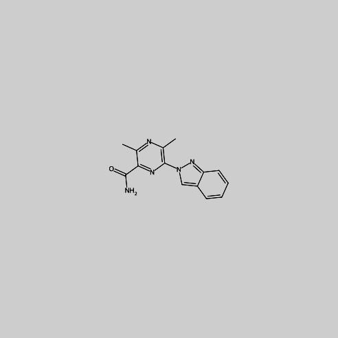 Cc1nc(C)c(-n2cc3ccccc3n2)nc1C(N)=O